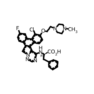 CN1CCN(CCOc2ccc3c(c2Cl)c2cc(F)ccc2c2cn4ncnc(N[C@H](Cc5ccccc5)C(=O)O)c4c23)CC1